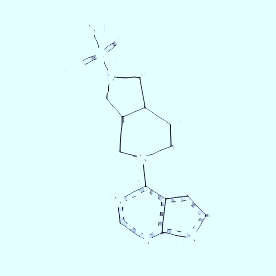 C[C@@]12CN(c3ncnc4[nH]ccc34)CCC1CN(S(N)(=O)=O)C2